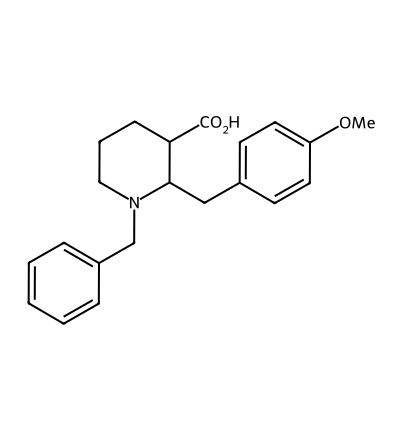 COc1ccc(CC2C(C(=O)O)CCCN2Cc2ccccc2)cc1